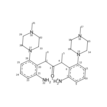 CC(C(=O)C(C)c1c(N)cccc1N1CCN(C)CC1)c1c(N)cccc1N1CCN(C)CC1